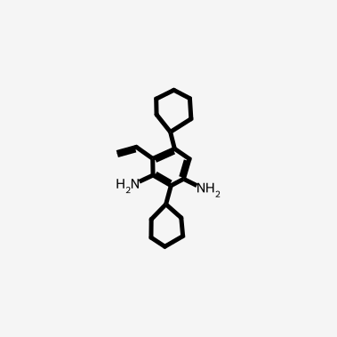 C=Cc1c(C2CCCCC2)cc(N)c(C2CCCCC2)c1N